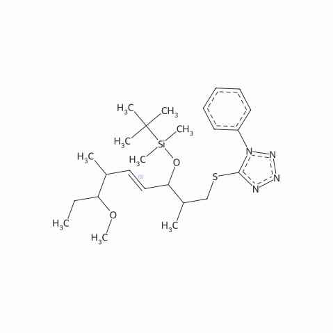 CCC(OC)C(C)/C=C/C(O[Si](C)(C)C(C)(C)C)C(C)CSc1nnnn1-c1ccccc1